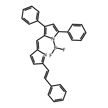 FB(F)n1c(-c2ccccc2)cc(-c2ccccc2)c1/C=C1/C=CC(/C=C/c2ccccc2)=N1